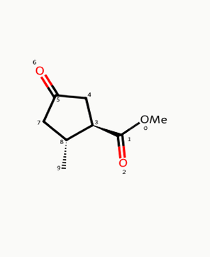 COC(=O)[C@@H]1CC(=O)C[C@H]1C